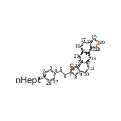 CCCCCCCc1ccc(CCc2cc3ccc4cc5c(ccc6ccsc65)cc4c3s2)cc1